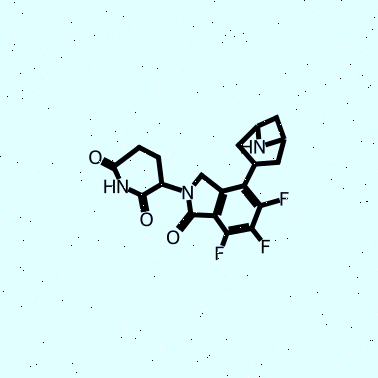 O=C1CCC(N2Cc3c(c(F)c(F)c(F)c3C3CC4CC(C3)N4)C2=O)C(=O)N1